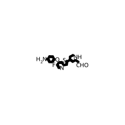 Nc1ccc(Oc2ccnc3cc(C4=CC(CC=O)NCC4)sc23)c(F)c1